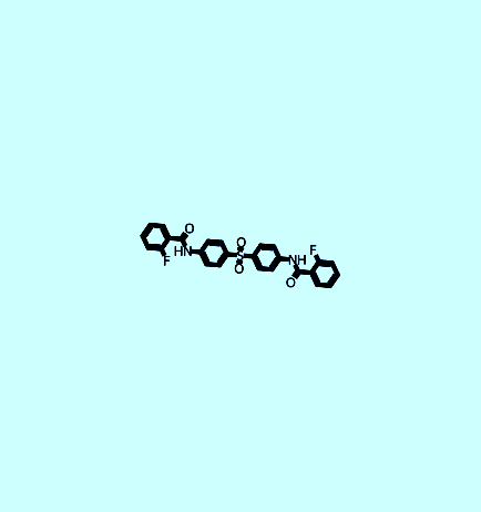 O=C(Nc1ccc(S(=O)(=O)c2ccc(NC(=O)c3ccccc3F)cc2)cc1)c1ccccc1F